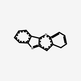 C1=CCc2cc3c(nc2=C1)-c1ccccc1N=3